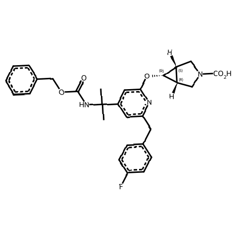 CC(C)(NC(=O)OCc1ccccc1)c1cc(Cc2ccc(F)cc2)nc(O[C@@H]2[C@@H]3CN(C(=O)O)C[C@@H]32)c1